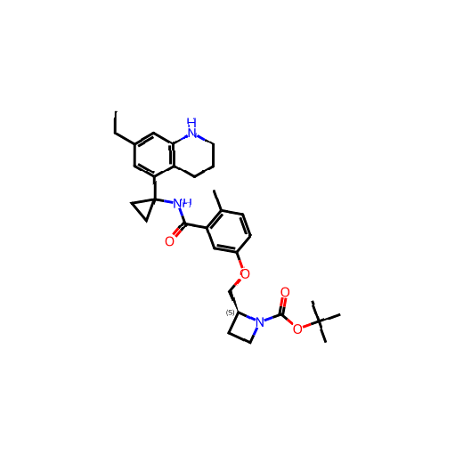 CCc1cc2c(c(C3(NC(=O)c4cc(OC[C@@H]5CCN5C(=O)OC(C)(C)C)ccc4C)CC3)c1)CCCN2